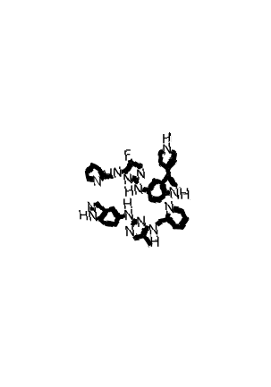 Cc1cnc(Nc2ccc3[nH]ncc3c2)nc1NCc1ccccn1.Fc1cnc(Nc2ccc3[nH]cc(C4=CCNCC4)c3c2)nc1NCc1ccccn1